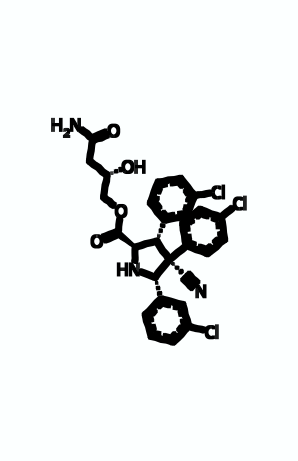 N#C[C@]1(c2ccc(Cl)cc2)[C@H](c2cccc(Cl)c2)N[C@@H](C(=O)OC[C@@H](O)CC(N)=O)[C@@H]1c1cccc(Cl)c1